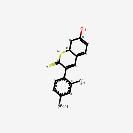 CCCCCc1ccc(C2=CC3=CC=C(O)CC3SC2=S)c(C(F)(F)F)c1